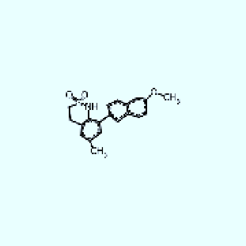 COc1ccc2cc(-c3cc(C)cc4c3NS(=O)(=O)CC4)ccc2c1